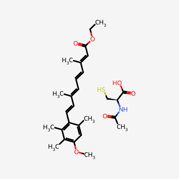 CC(=O)N[C@@H](CS)C(=O)O.CCOC(=O)/C=C(C)/C=C/C=C(C)/C=C/c1c(C)cc(OC)c(C)c1C